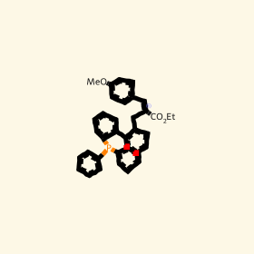 CCOC(=O)/C(=C/c1ccc(OC)cc1)Cc1ccccc1-c1ccccc1P(c1ccccc1)c1ccccc1